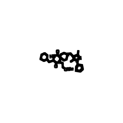 COCCN1C(=O)C(CC2CCCCC2)NC(=O)C12CCN(Cc1c(C)nn(-c3ccccc3)c1C)CC2